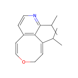 CC(C)/C1=C/CO/C=C\c2ccnc(C(C)C)c21